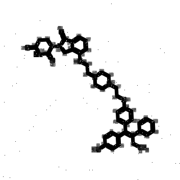 CC/C(=C(\c1ccc(O)cc1)c1ccc(OCCN2CCN(CCNc3cccc4c3CN(C3CCC(=O)NC3=O)C4=O)CC2)cc1)c1ccccc1